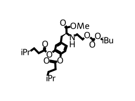 CCC(C)OC(=O)OCCN[C@@H](Cc1ccc(OC(=O)CCC(C)C)c(OC(=O)CCC(C)C)c1)C(=O)OC